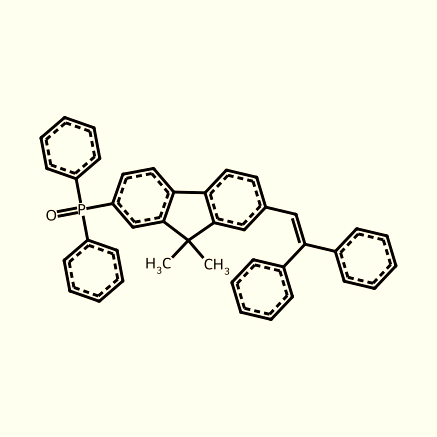 CC1(C)c2cc(C=C(c3ccccc3)c3ccccc3)ccc2-c2ccc(P(=O)(c3ccccc3)c3ccccc3)cc21